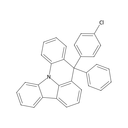 Clc1ccc(C2(c3ccccc3)c3ccccc3-n3c4ccccc4c4cccc2c43)cc1